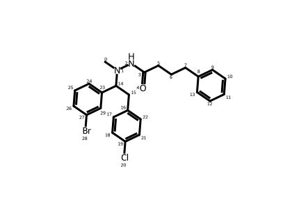 CN(NC(=O)CCCc1ccccc1)C(Cc1ccc(Cl)cc1)c1cccc(Br)c1